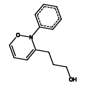 OCCCC1=CC=CON1c1ccccc1